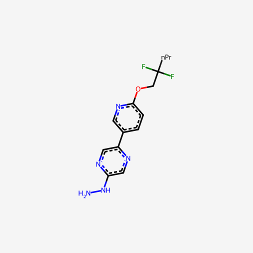 CCCC(F)(F)COc1ccc(-c2cnc(NN)cn2)cn1